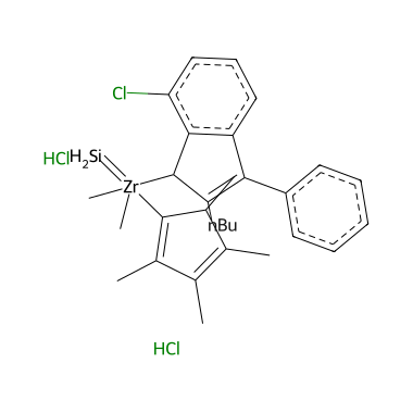 CCCCC1=C(c2ccccc2)c2cccc(Cl)c2[CH]1[Zr]([CH3])([CH3])(=[SiH2])[C]1=C(C)C(C)=C(C)C1C.Cl.Cl